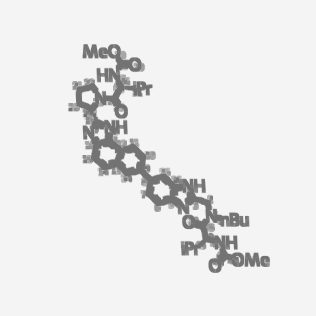 CCCCN(Cc1nc2ccc(-c3ccc4c(ccc5nc([C@@H]6CCCN6C(=O)[C@@H](NC(=O)OC)C(C)C)[nH]c54)c3)cc2[nH]1)C(=O)[C@@H](NC(=O)OC)C(C)C